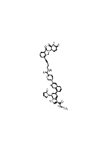 CNC(=O)c1c[nH]c2c(N3CCCC3=O)cc(-c3cccc4cc(-c5ccc(C(=O)NCCC#Cc6cccc7c6CN(C6CCC(=O)NC6=O)C7=O)nc5)ncc34)cc12